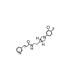 O=C(/C=C/c1cccnc1)NCCC1[C@H]2CN(c3ccc(F)c(Cl)c3)C[C@@H]12